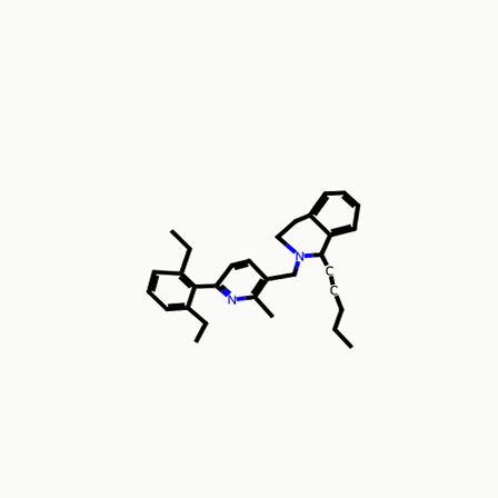 CCCCCC1c2ccccc2CCN1Cc1ccc(-c2c(CC)cccc2CC)nc1C